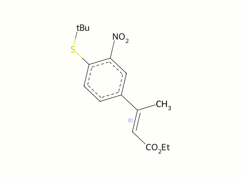 CCOC(=O)/C=C(\C)c1ccc(SC(C)(C)C)c([N+](=O)[O-])c1